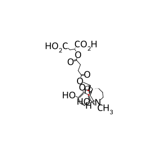 CN1CCC[C@]23c4c5ccc(O)c4O[C@H]2C(OC(=O)CCC(=O)O[C@H](CC(=O)O)C(=O)O)=CC[C@@]3(O)[C@H]1C5